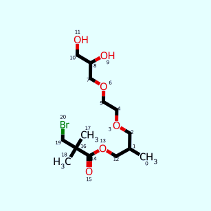 CC(COCCOCC(O)CO)COC(=O)C(C)(C)CBr